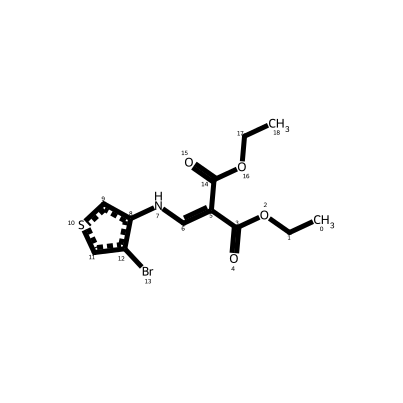 CCOC(=O)C(=CNc1cscc1Br)C(=O)OCC